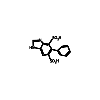 O=S(=O)(O)c1cc2[nH]cnc2c(S(=O)(=O)O)c1-c1ccccc1